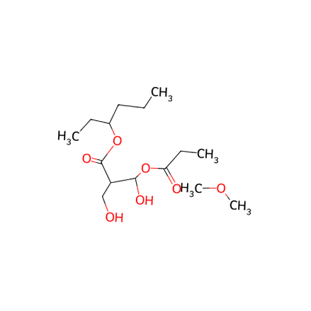 CCCC(CC)OC(=O)C(CO)C(O)OC(=O)CC.COC